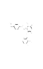 Cc1cccc(OCc2c(Cl)cc(I)c(=O)n2CCc2ccc(C=O)cc2)c1C